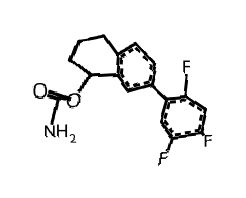 NC(=O)OC1CCCc2ccc(-c3cc(F)c(F)cc3F)cc21